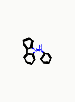 c1ccc(Nn2c3ccccc3c3ccccc32)cc1